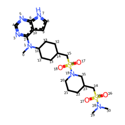 CN(c1ncnc2[nH]ccc12)C1CCC(CS(=O)(=O)N2CCCC(CS(=O)(=O)N(C)C)C2)CC1